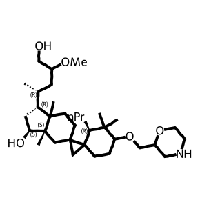 CCC[C@H]1C(C)(C)C(OCC2CNCCO2)CCC12CC21CCC2(C)[C@@H]([C@H](C)CC(CO)OC)C[C@H](O)[C@@]2(C)C1